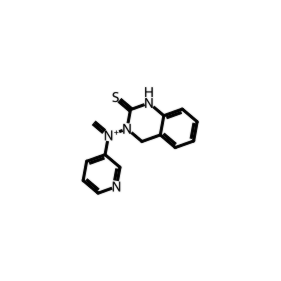 C=[N+](c1cccnc1)N1Cc2ccccc2NC1=S